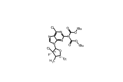 CC[C@H]1OC(n2cnc3c(Cl)nc(N(C(=O)OC(C)(C)C)C(=O)OC(C)(C)C)nc32)[C@](F)(Cl)C1C